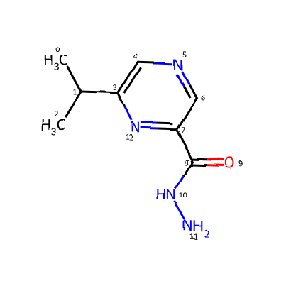 CC(C)c1cncc(C(=O)NN)n1